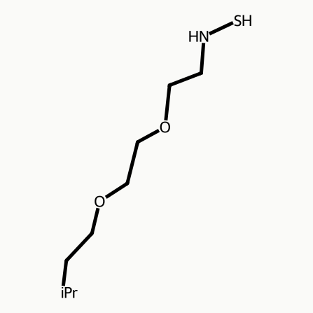 CC(C)CCOCCOCCNS